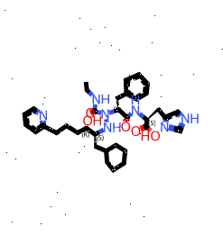 CCNC(=O)N(N[C@@H](CC1CCCCC1)[C@H](O)CCCc1ccccn1)[C@@H](Cc1ccccc1)C(=O)N[C@@H](Cc1c[nH]cn1)C(=O)O